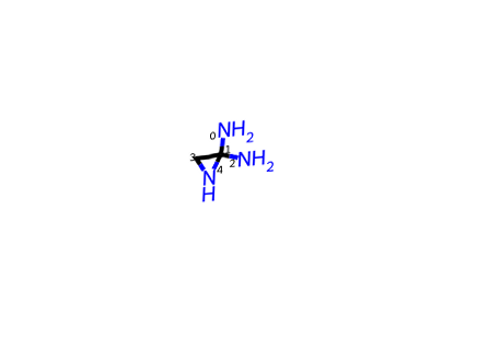 NC1(N)CN1